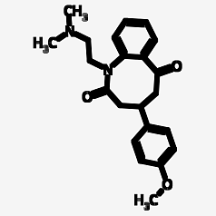 COc1ccc(C2CC(=O)c3ccccc3N(CCN(C)C)C(=O)C2)cc1